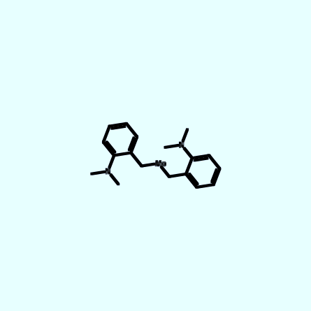 CN(C)c1ccccc1[CH2][Mo][CH2]c1ccccc1N(C)C